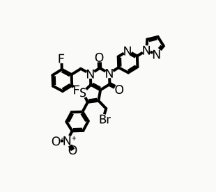 O=c1c2c(CBr)c(-c3ccc([N+](=O)[O-])cc3)sc2n(Cc2c(F)cccc2F)c(=O)n1-c1ccc(-n2cccn2)nc1